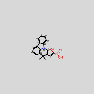 CC1(C)c2cc(B(O)O)oc2-n2c3ccccc3c3cccc1c32